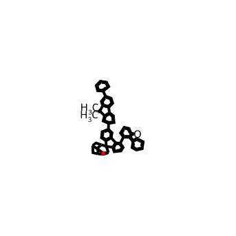 CC1(C)c2cc(-c3ccccc3)ccc2-c2ccc(-c3ccc4c(c3)-c3c(-c5cccc6oc7ccccc7c56)cccc3C43C4CC5CC(C4)CC3C5)cc21